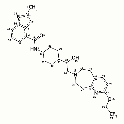 Cn1cc2c(C(=O)NC3CCC(C(O)CN4CCc5ccc(OCC(F)(F)F)nc5CC4)CC3)cccc2n1